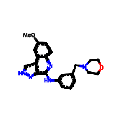 COc1ccc2nc(Nc3cccc(CN4CCOCC4)c3)c3n[nH]cc3c2c1